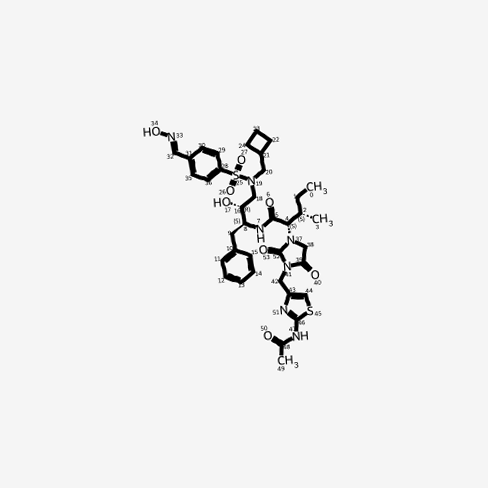 CC[C@H](C)[C@@H](C(=O)N[C@@H](Cc1ccccc1)[C@H](O)CN(CC1CCC1)S(=O)(=O)c1ccc(C=NO)cc1)N1CC(=O)N(Cc2csc(NC(C)=O)n2)C1=O